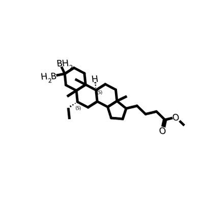 BC1(B)CCC2(C)[C@H]3CCC4(C)C(CCCC(=O)OC)CCC4C3C[C@H](CC)C2(C)C1